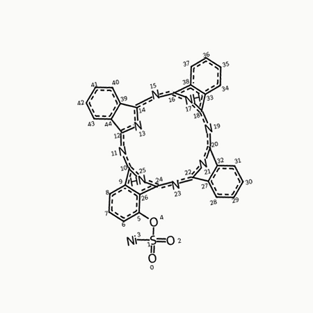 O=[S](=O)([Ni])Oc1cccc2c3nc4nc(nc5[nH]c(nc6nc(nc([nH]3)c12)-c1ccccc1-6)c1ccccc51)-c1ccccc1-4